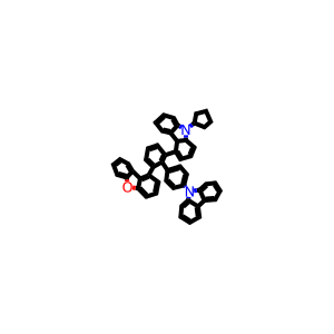 C1=CC2C(C(c3cccc(-c4cccc5oc6ccccc6c45)c3-c3ccc(-n4c5ccccc5c5ccccc54)cc3)=C1)c1ccccc1N2C1CCCC1